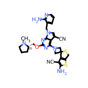 CN1CCC[C@H]1COc1nc(N2CC3(C2)SCc2sc(N)c(C#N)c23)c2c(C#N)cn(Cc3cccnc3N)c2n1